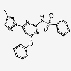 Cc1cnn(-c2cc(Oc3ccccc3)nc(NS(=O)(=O)c3ccccc3)n2)c1